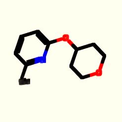 CC(C)(C)c1cccc(OC2CCOCC2)n1